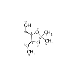 CO[C@@H]1OC(C)(C)O[C@@H]1CO